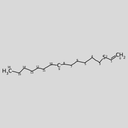 C=CSCCCCCCCCCCCCCC